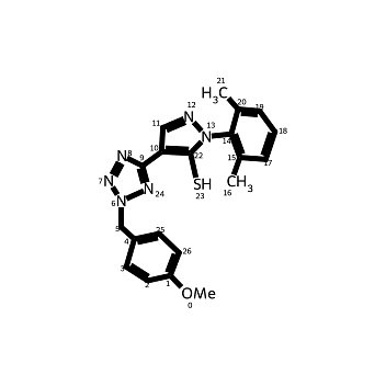 COc1ccc(Cn2nnc(-c3cnn(-c4c(C)cccc4C)c3S)n2)cc1